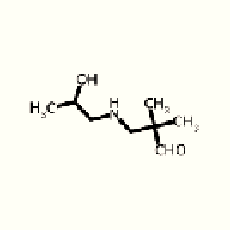 CC(O)CNCC(C)(C)C=O